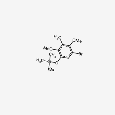 COc1c(Br)cc(O[Si](C)(C)C(C)(C)C)c(OC)c1C